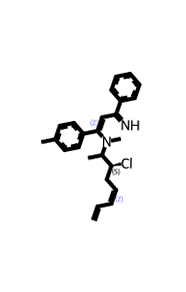 C=C/C=C\C[C@H](Cl)C(C)N(C)/C(=C\C(=N)c1ccccc1)c1ccc(C)cc1